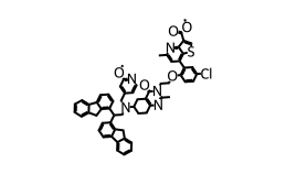 COC(=O)c1csc2c(-c3cc(Cl)ccc3OCCn3c(C)nc4c(c3=O)CC(N(Cc3ccnc(OC)c3)CC(c3cccc5c3Cc3ccccc3-5)c3cccc5c3Cc3ccccc3-5)CC4)cc(C)nc12